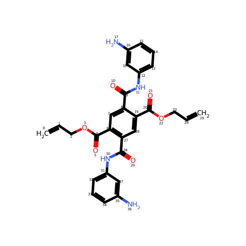 C=CCOC(=O)c1cc(C(=O)Nc2cccc(N)c2)c(C(=O)OCC=C)cc1C(=O)Nc1cccc(N)c1